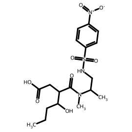 CCCC(O)C(CC(=O)O)C(=O)N(C)C(C)CNS(=O)(=O)c1ccc([N+](=O)[O-])cc1